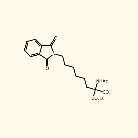 CCOC(=O)C(CCCCCCN1C(=O)c2ccccc2C1=O)(NC(C)=O)C(=O)O